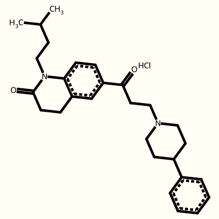 CC(C)CCN1C(=O)CCc2cc(C(=O)CCN3CCC(c4ccccc4)CC3)ccc21.Cl